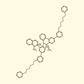 CCC1(C)c2ccc(-c3cccc(CCCCCCc4ccccc4)c3)cc2-c2cccc[n+]2[C@]1(CC)c1ccc(-c2cccc(CCCCCCc3ccccc3)c2)cc1-c1ccc2ccccc2[n+]1C